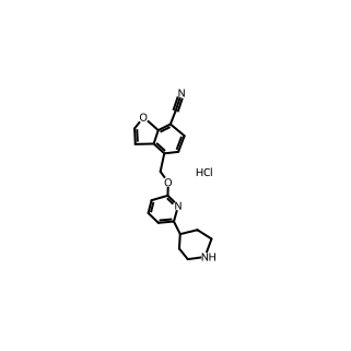 Cl.N#Cc1ccc(COc2cccc(C3CCNCC3)n2)c2ccoc12